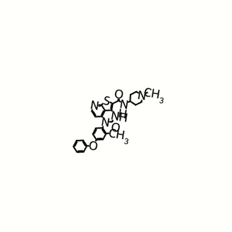 Cc1cc(Oc2ccccc2)ccc1N1C(=O)Nc2c(C(=O)NC3CCN(C)CC3)sc3nccc1c23